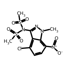 Cn1nc(N(S(C)(=O)=O)S(C)(=O)=O)c2c(Cl)ccc([N+](=O)[O-])c21